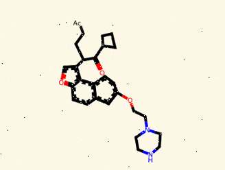 CC(=O)CCC(C(=O)C1CCC1)c1coc2ccc3cc(OCCN4CCNCC4)ccc3c12